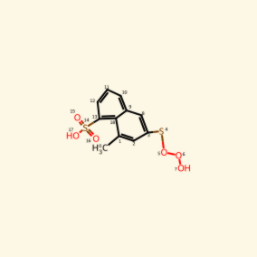 Cc1cc(SOOO)cc2cccc(S(=O)(=O)O)c12